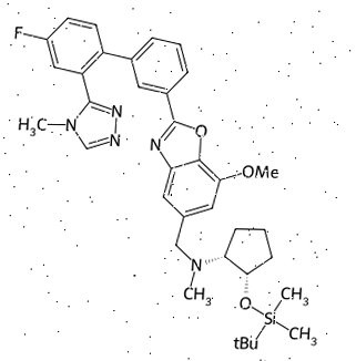 COc1cc(CN(C)[C@@H]2CCC[C@@H]2O[Si](C)(C)C(C)(C)C)cc2nc(-c3cccc(-c4ccc(F)cc4-c4nncn4C)c3)oc12